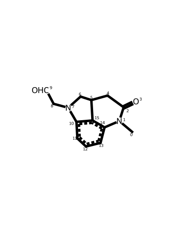 CN1C(=O)CC2CN(CC=O)c3cccc1c32